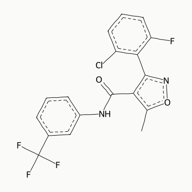 Cc1onc(-c2c(F)cccc2Cl)c1C(=O)Nc1cccc(C(F)(F)F)c1